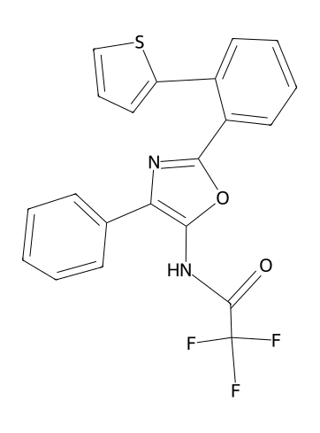 O=C(Nc1oc(-c2ccccc2-c2cccs2)nc1-c1ccccc1)C(F)(F)F